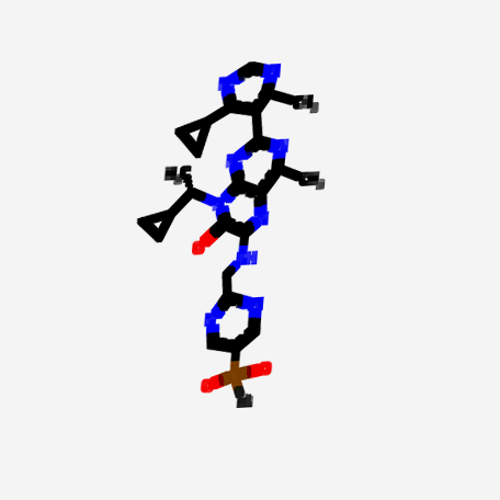 CCS(=O)(=O)c1cnc(CNc2nc3c(C)nc(-c4c(C)ncnc4C4CC4)nc3n([C@@H](C)C3CC3)c2=O)nc1